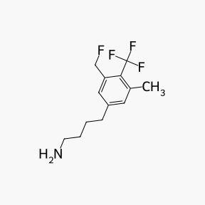 Cc1cc(CCCCN)cc(CF)c1C(F)(F)F